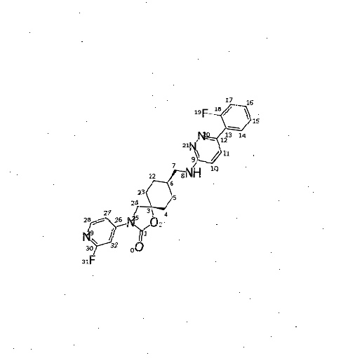 O=C1O[C@]2(CC[C@H](CNc3ccc(-c4ccccc4F)nn3)CC2)CN1c1ccnc(F)c1